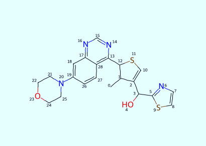 CC1C(C(O)c2nccs2)=CSC1c1ncnc2cc(N3CCOCC3)ccc12